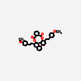 COc1ccc(/C=C/c2cc3ccccc3c3c2oc(=O)c2ccccc2c(=O)oc2c(/C=C/c4ccc(OC)cc4)cc4ccccc4c23)cc1